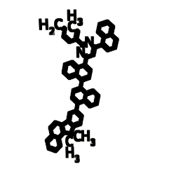 C=C/C=C\C(=C/C)c1nc(-c2cccc3ccccc23)cc(-c2ccc(-c3ccc(-c4ccc5c(c4)-c4ccc6ccccc6c4C5(C)C)c4ccccc34)c3ccccc23)n1